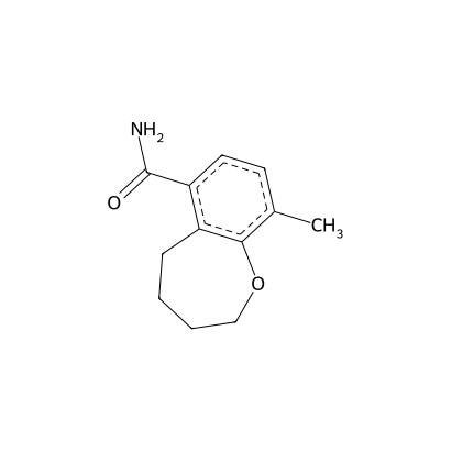 Cc1ccc(C(N)=O)c2c1OCCCC2